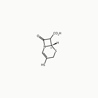 O=C(O)C1C(=O)N2C=C(S)CS[C@@H]12